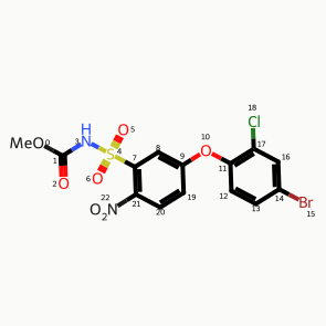 COC(=O)NS(=O)(=O)c1cc(Oc2ccc(Br)cc2Cl)ccc1[N+](=O)[O-]